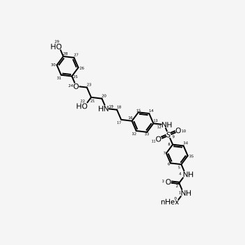 CCCCCCNC(=O)Nc1ccc(S(=O)(=O)Nc2ccc(CCNCC(O)COc3ccc(O)cc3)cc2)cc1